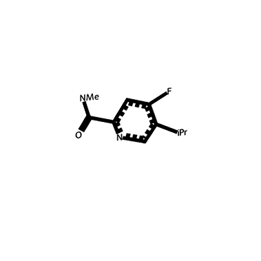 CNC(=O)c1cc(F)c(C(C)C)cn1